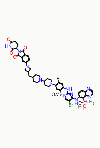 CCc1cc(Nc2ncc(Br)c(Nc3ccc4nccnc4c3P(C)(C)=O)n2)c(OC)cc1N1CCC(N2CCC(CC3CN(c4ccc5c(c4)C(=O)N(C4CCC(=O)NC4=O)C5=O)C3)CC2)CC1